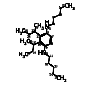 CCCCCNc1ccc(NCCCCC)c(C(C)CC)c1C(C)CC